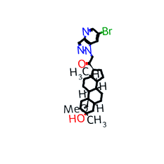 COC[C@]12CC[C@@](C)(O)C[C@@H]1CC[C@H]1[C@@H]3CC[C@H](C(=O)Cn4ncc5ncc(Br)cc54)[C@@]3(C)CC[C@@H]12